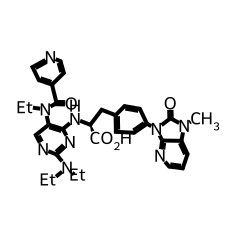 CCN(CC)c1ncc(N(CC)C(=O)c2ccncc2)c(N[C@@H](Cc2ccc(-n3c(=O)n(C)c4cccnc43)cc2)C(=O)O)n1